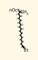 [CH2]CC#CCCCCCCCCCCCCCCCC(C)CCCCCCC[CH2]